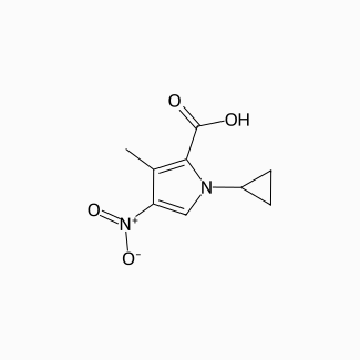 Cc1c([N+](=O)[O-])cn(C2CC2)c1C(=O)O